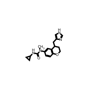 CN(C(=O)NC1CC1)c1ccc2c(c1)C(Cc1c[nH]cn1)CCO2